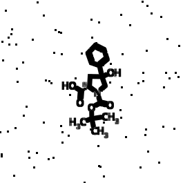 CC(C)(C)OC(=O)N1CC(O)(c2ccccc2)C[C@H]1C(=O)O